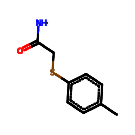 Cc1ccc(SCC([NH])=O)cc1